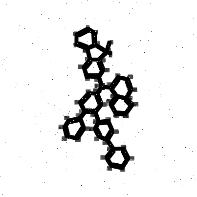 CC1(C)c2ccccc2-c2ccc(N(c3ccc(-c4ccccc4)c(-c4ccc(-c5ccccc5)cc4)c3)c3cccc4ccccc34)cc21